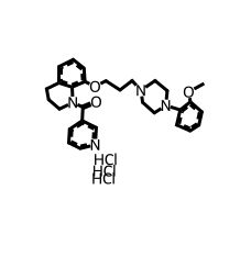 COc1ccccc1N1CCN(CCCOc2cccc3c2N(C(=O)c2cccnc2)CCC3)CC1.Cl.Cl.Cl